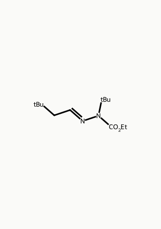 CCOC(=O)N(/N=C/CC(C)(C)C)C(C)(C)C